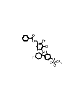 CCc1c(Cl)c(NC2(c3ccc(OS(=O)(=O)C(F)(F)F)cc3)CCCCC2)nc[n+]1COC(=O)c1ccccc1.[I-]